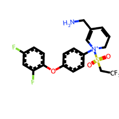 NCC1=C[N+](c2ccc(Oc3ccc(F)cc3F)cc2)(S(=O)(=O)CC(F)(F)F)CC=C1